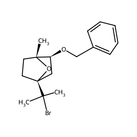 CC(C)(Br)[C@@]12CC[C@@](C)(O1)[C@@H](OCc1ccccc1)C2